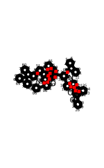 CC1(C)c2ccccc2-c2cccc(N(c3ccc(-c4ccc5c(c4)oc4ccccc45)cc3)c3ccc(-c4ccc(C5(c6ccccc6)c6ccccc6-c6c(N(c7ccc8c(c7)C(c7ccccc7)(c7ccccc7)c7ccccc7-8)c7ccccc7-c7ccc8oc9cc%10ccccc%10cc9c8c7)cccc65)cc4)cc3-c3ccc4oc5cc6ccccc6cc5c4c3)c21